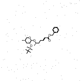 C[C@H](CC/C=C/C(=O)OCc1ccccc1)O[C@@H]1O[C@@H](C)[C@H](C)C[C@H]1O[Si](C)(C)C(C)(C)C